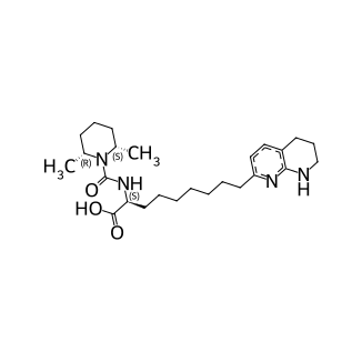 C[C@@H]1CCC[C@H](C)N1C(=O)N[C@@H](CCCCCCCc1ccc2c(n1)NCCC2)C(=O)O